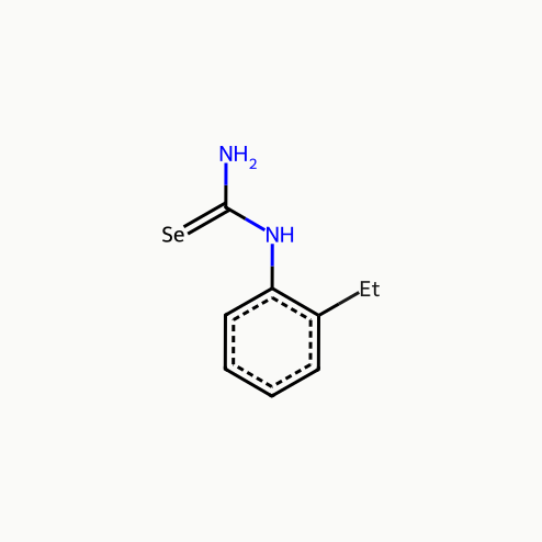 CCc1ccccc1NC(N)=[Se]